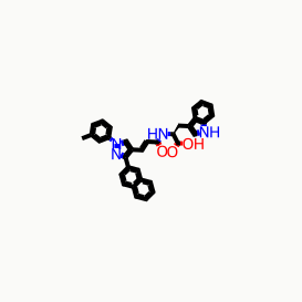 Cc1cccc(-n2cc(C=CC(=O)N[C@@H](Cc3c[nH]c4ccccc34)C(=O)O)c(-c3ccc4ccccc4c3)n2)c1